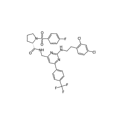 O=C(NCc1cc(-c2ccc(C(F)(F)F)cc2)nc(NCCc2ccc(Cl)cc2Cl)n1)[C@@H]1CCCN1S(=O)(=O)c1ccc(F)cc1